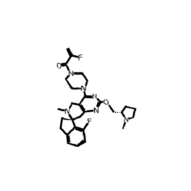 C=C(F)C(=O)N1CCN(c2nc(OC[C@@H]3CCCN3C)nc3c2CN(C)[C@]2(CCc4cccc(F)c42)C3)CC1